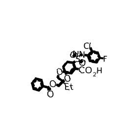 CC[C@@]1(COC(=O)c2ccccc2)COC2(C=C(C(=O)O)C(S(=O)(=O)Nc3ccc(F)cc3Cl)CC2)O1